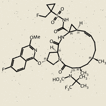 COc1cc2cc(F)ccc2c(O[C@@H]2C[C@H]3C(=O)N[C@]4(C(=O)NS(=O)(=O)C5(CF)CC5)C[C@H]4C=CCC[C@@H](C)C[C@@H](C)[C@H](N(C(=O)O)C(C)(C)C(F)(F)F)C(=O)N3C2)n1